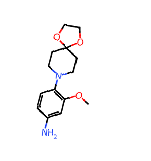 COc1cc(N)ccc1N1CCC2(CC1)OCCO2